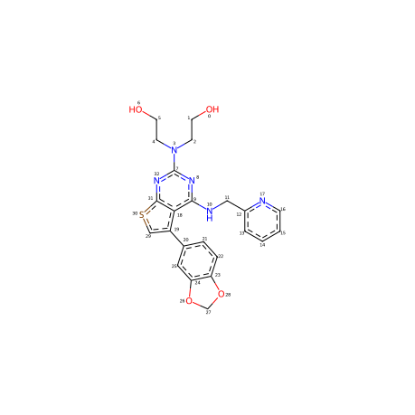 OCCN(CCO)c1nc(NCc2ccccn2)c2c(-c3ccc4c(c3)OCO4)csc2n1